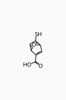 O=C(O)c1cc2oc1cc2S